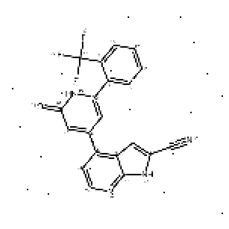 N#Cc1cc2c(-c3cc(-c4ccccc4C(F)(F)F)[nH]c(=O)c3)ccnc2[nH]1